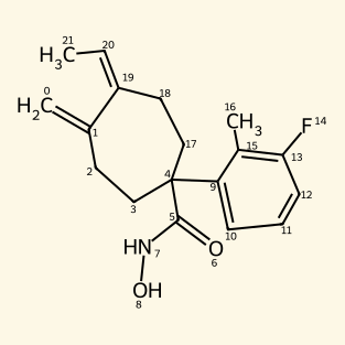 C=C1CCC(C(=O)NO)(c2cccc(F)c2C)CC/C1=C/C